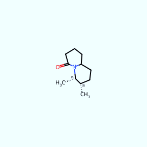 C[C@H]1CCC2CCCC(=O)N2[C@H]1C